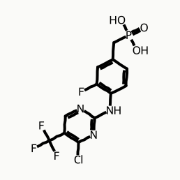 O=P(O)(O)Cc1ccc(Nc2ncc(C(F)(F)F)c(Cl)n2)c(F)c1